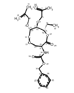 C=C(C)CO[C@@H]1[C@@H](OCC(=C)C)COC[C@H](NC(=O)OCc2ccccc2)C(=O)O[C@H]1CC